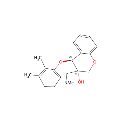 CNC[C@]1(O)COc2ccccc2[C@@H]1Oc1cccc(C)c1C